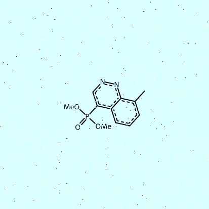 COP(=O)(OC)c1cnnc2c(C)cccc12